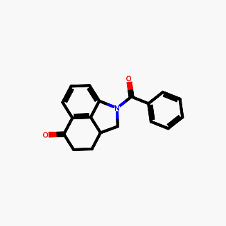 O=C1CCC2CN(C(=O)c3ccccc3)c3cccc1c32